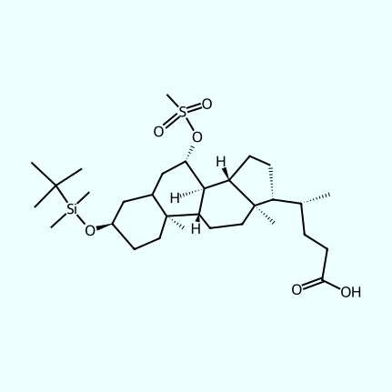 C[C@H](CCC(=O)O)[C@H]1CC[C@H]2[C@@H]3[C@@H](OS(C)(=O)=O)CC4C[C@H](O[Si](C)(C)C(C)(C)C)CC[C@]4(C)[C@H]3CC[C@]12C